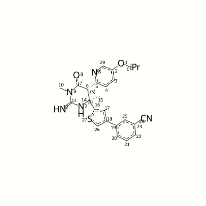 CC(C)Oc1ccc([C@H]2C(=O)N(C)C(=N)N[C@]2(C)c2cc(-c3cccc(C#N)c3)cs2)nc1